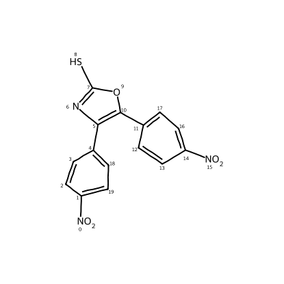 O=[N+]([O-])c1ccc(-c2nc(S)oc2-c2ccc([N+](=O)[O-])cc2)cc1